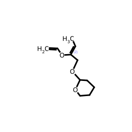 C=CO/C(=C\C)COC1CCCCO1